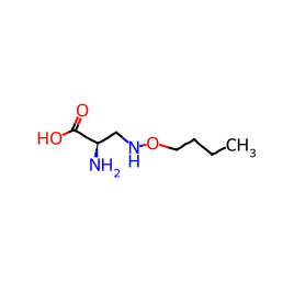 CCCCONC[C@@H](N)C(=O)O